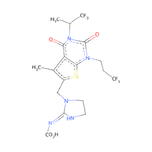 Cc1c(CN2CCN/C2=N\C(=O)O)sc2c1c(=O)n(C(C)C(F)(F)F)c(=O)n2CCC(F)(F)F